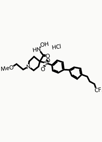 COCCN1CCC(C(=O)NO)(S(=O)(=O)c2ccc(-c3ccc(CCCC(F)(F)F)cc3)cc2)CC1.Cl